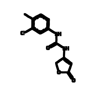 Cc1ccc(NC(=O)NC2=CC(=O)OC2)cc1Cl